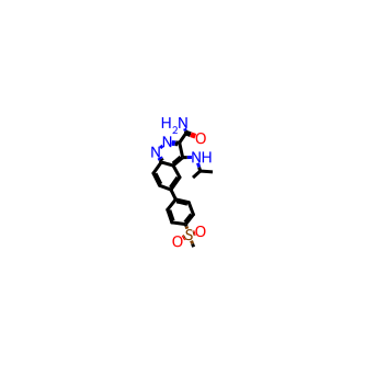 CC(C)Nc1c(C(N)=O)nnc2ccc(-c3ccc(S(C)(=O)=O)cc3)cc12